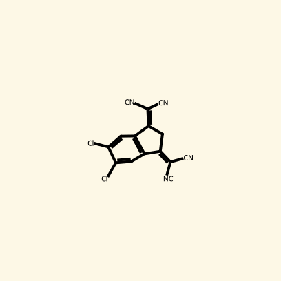 [C-]#[N+]/C(C#N)=C1/C/C(=C(\C#N)[N+]#[C-])c2cc(Cl)c(Cl)cc21